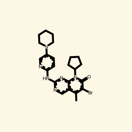 Cc1c(Br)c(=O)n(C2CCCC2)c2nc(Nc3ccc(N4CCCCC4)cn3)ncc12